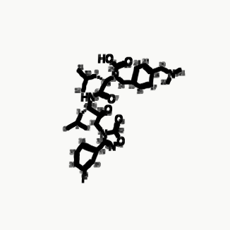 CC(C)C[C@H](NC(=O)[C@H](CC(C)C)N(Cc1ccc(CN(C)C)cc1)C(=O)O)C(=O)Cn1c(-c2cccc(F)c2)noc1=O